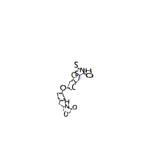 O=C1COCC(Cc2ccc(Oc3ccc(/C=C4\SC(=S)NC4=O)c(Cl)c3)cc2)N1